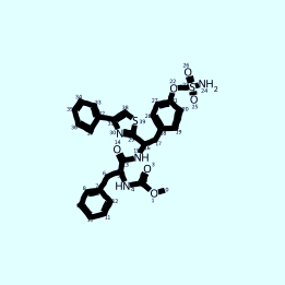 COC(=O)NC(Cc1ccccc1)C(=O)NC(Cc1ccc(OS(N)(=O)=O)cc1)c1nc(-c2ccccc2)cs1